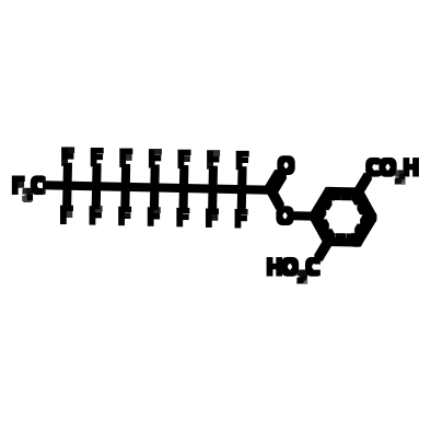 O=C(O)c1ccc(C(=O)O)c(OC(=O)C(F)(F)C(F)(F)C(F)(F)C(F)(F)C(F)(F)C(F)(F)C(F)(F)C(F)(F)F)c1